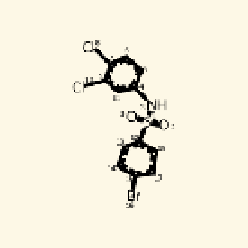 O=S(=O)(Nc1ccc(Cl)c(Cl)c1)c1ccc(Br)cc1